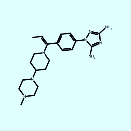 CC=C(c1ccc(-n2nc(N)nc2N)cc1)N1CCC(N2CCN(C)CC2)CC1